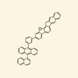 c1cc(-c2ccc3c(c2)oc2c4c(ccc23)-c2cc3ccccc3cc2C4)cc(-c2c3ccccc3c(-c3cccc4ccccc34)c3ccccc23)c1